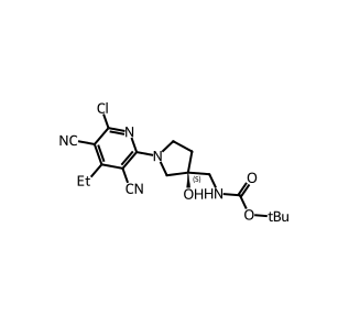 CCc1c(C#N)c(Cl)nc(N2CC[C@](O)(CNC(=O)OC(C)(C)C)C2)c1C#N